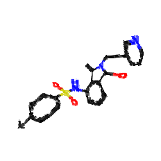 C=C1c2c(NS(=O)(=O)c3ccc(C(C)=O)cc3)cccc2C(=O)N1Cc1cccnc1